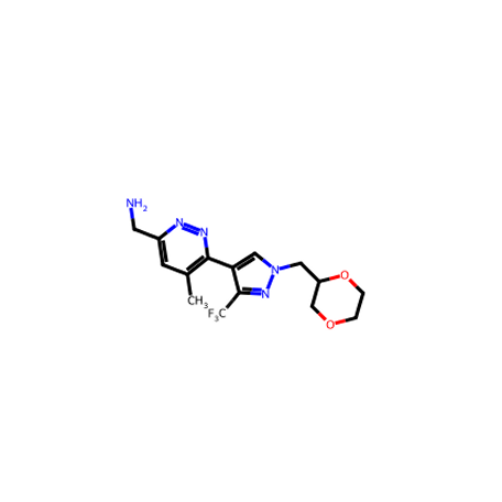 Cc1cc(CN)nnc1-c1cn(CC2COCCO2)nc1C(F)(F)F